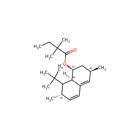 CCC(C)(C)C(=O)O[C@H]1C[C@@H](C)C=C2C=C[C@H](C)C(C(C)(C)C)[C@H]21